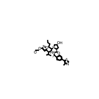 CCCCC(CC(c1cc(OCC=O)no1)C(C)C)N1C[C@H](O)C[C@H]1C(=O)N[C@@H](C)c1ccc(-c2scnc2C)cc1